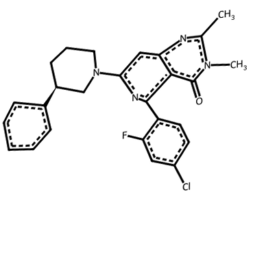 Cc1nc2cc(N3CCC[C@H](c4ccccc4)C3)nc(-c3ccc(Cl)cc3F)c2c(=O)n1C